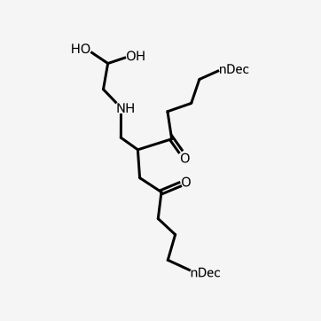 CCCCCCCCCCCCCC(=O)CC(CNCC(O)O)C(=O)CCCCCCCCCCCCC